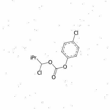 CC(C)C(Cl)OC(=O)Oc1ccc(Cl)cc1